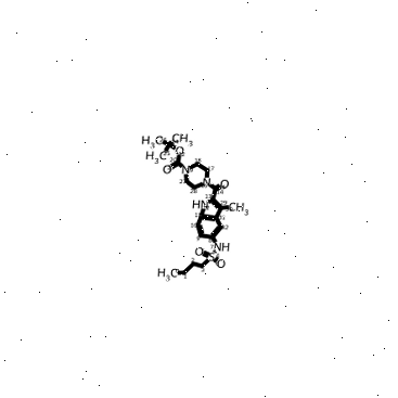 CCCCS(=O)(=O)Nc1ccc2[nH]c(C(=O)N3CCN(C(=O)OC(C)(C)C)CC3)c(C)c2c1